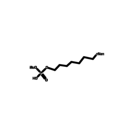 CCCCCCCCCCCCCCCCOP(=O)(O)OCC(C)C